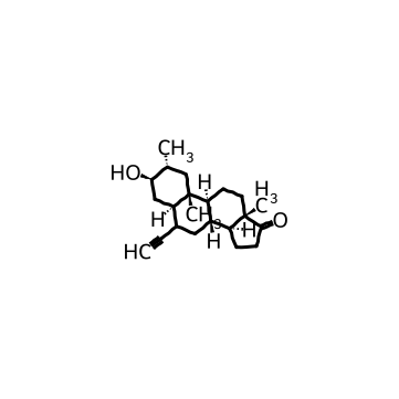 C#CC1C[C@@H]2[C@H](CC[C@]3(C)C(=O)CC[C@@H]23)[C@@]2(C)C[C@@H](C)[C@H](O)C[C@H]12